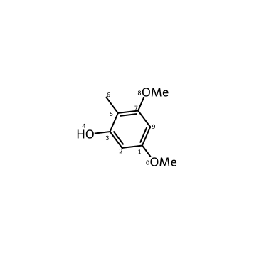 COc1cc(O)c(C)c(OC)c1